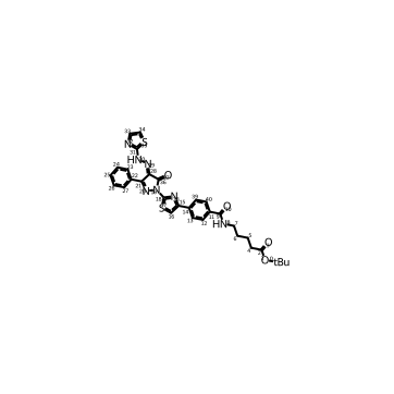 CC(C)(C)OC(=O)CCCCNC(=O)c1ccc(-c2csc(N3N=C(c4ccccc4)/C(=N\Nc4nccs4)C3=O)n2)cc1